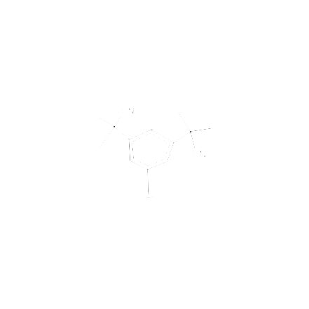 CC(C)(C#N)c1cc(Br)cc(C(C)(C)C#N)c1